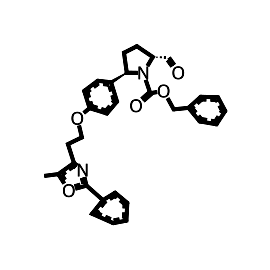 Cc1oc(-c2ccccc2)nc1CCOc1ccc([C@H]2CC[C@H](C=O)N2C(=O)OCc2ccccc2)cc1